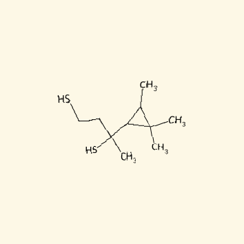 CC1C(C(C)(S)CCS)C1(C)C